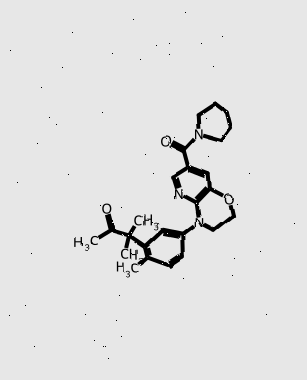 CC(=O)C(C)(C)c1cc(N2CCOc3cc(C(=O)N4CCCCC4)cnc32)ccc1C